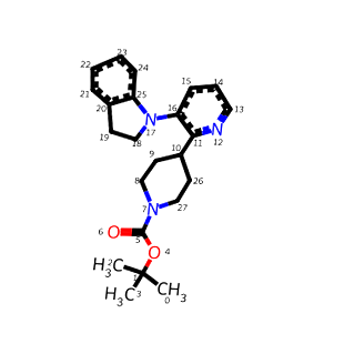 CC(C)(C)OC(=O)N1CCC(c2ncccc2N2CCc3ccccc32)CC1